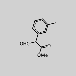 COC(=O)C(C=O)c1cccc(C)c1